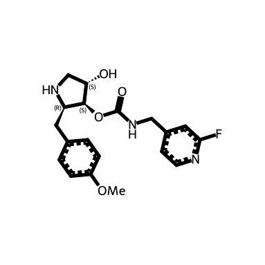 COc1ccc(C[C@H]2NC[C@H](O)[C@H]2OC(=O)NCc2ccnc(F)c2)cc1